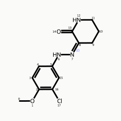 COc1ccc(N/N=C2/CCCNC2=O)cc1Cl